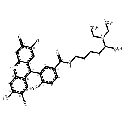 O=C(O)CN(CC(=O)O)C(CCCCNC(=O)c1ccc(C(=O)O)c(-c2c3cc(Cl)c(=O)cc-3oc3cc(O)c(Cl)cc23)c1)C(=O)O